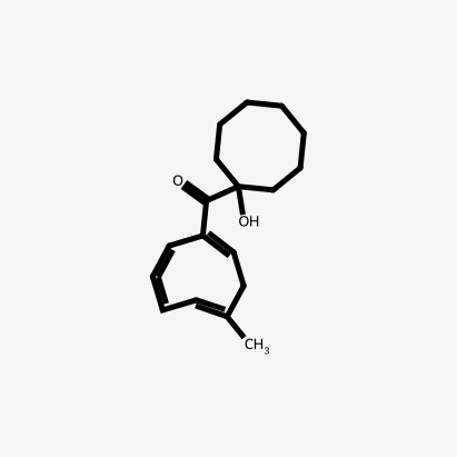 C/C1=C\C=C=C/C(C(=O)C2(O)CCCCCCC2)=C\C1